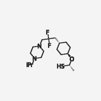 CC(C)N1CCN(CC(F)(F)C[C@H]2CC[C@H](O[C@H](C)S)CC2)CC1